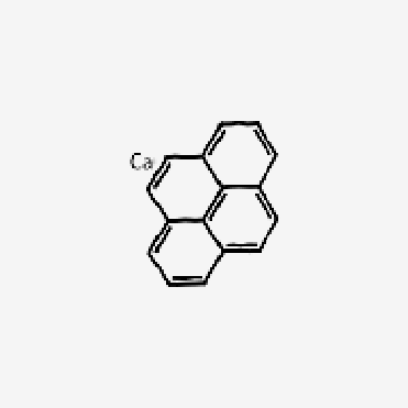 [Ca].c1cc2ccc3cccc4ccc(c1)c2c34